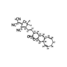 CC1(C)OC(=C(C#N)C#N)C(C#N)=C1/C=C/c1cc2cc3c(cc2oc1=O)C#CCC/C=C\3